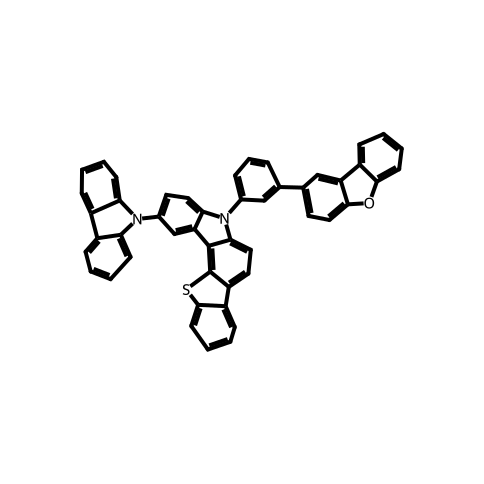 c1cc(-c2ccc3oc4ccccc4c3c2)cc(-n2c3ccc(-n4c5ccccc5c5ccccc54)cc3c3c4sc5ccccc5c4ccc32)c1